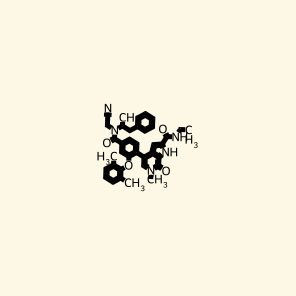 CCNC(=O)c1cc2c(-c3ccc(C(=O)N(CC#N)C(C)Cc4ccccc4)cc3Oc3c(C)cccc3C)cn(C)c(=O)c2[nH]1